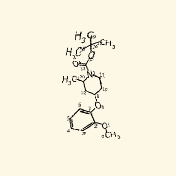 COc1ccccc1OC1CCN(C(=O)OC(C)(C)C)C(C)C1